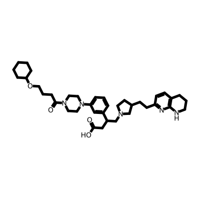 O=C(O)CC(CN1CCC(CCc2ccc3c(n2)NCCC3)C1)c1cccc(N2CCN(C(=O)CCCOC3CCCCC3)CC2)c1